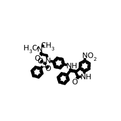 CN(C)C(=O)CN(c1ccc(NC(=C2C(=O)Nc3ccc([N+](=O)[O-])cc32)c2ccccc2)cc1)S(=O)(=O)c1ccccc1